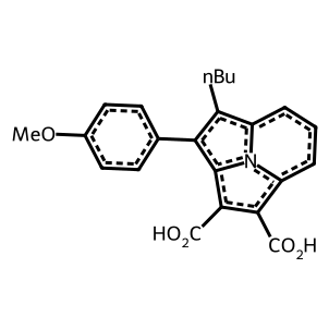 CCCCc1c(-c2ccc(OC)cc2)c2c(C(=O)O)c(C(=O)O)c3cccc1n32